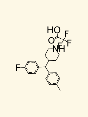 Cc1ccc(C(c2ccc(F)cc2)C2CCNCC2)cc1.O=C(O)C(F)(F)F